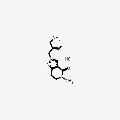 CN1CCc2nn(CC(=CF)CN)cc2C1=O.Cl